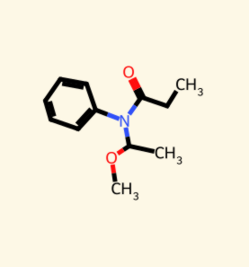 CCC(=O)N(c1ccccc1)C(C)OC